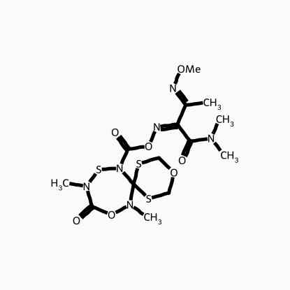 CON=C(C)C(=NOC(=O)N1SN(C)C(=O)ON(C)C12SCOCS2)C(=O)N(C)C